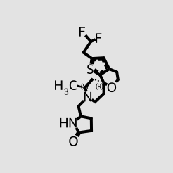 C[C@H]1C[C@@]2(CCN1CC1CCC(=O)N1)OCCc1cc(CC(F)F)sc12